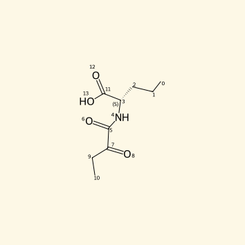 CCC[C@H](NC(=O)C(=O)CC)C(=O)O